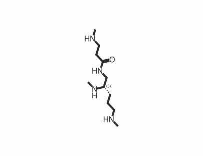 CNCCC[C@@H](CNC(=O)CCNC)NC